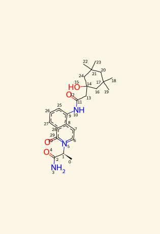 C[C@@H](C(N)=O)n1ccc2c(NC(=O)CC3(O)CC(C)(C)CC(C)(C)C3)cccc2c1=O